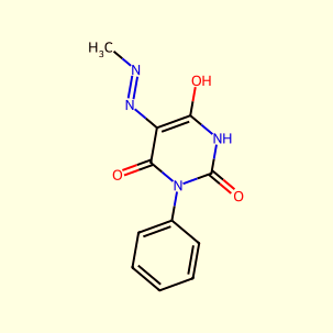 C/N=N/c1c(O)[nH]c(=O)n(-c2ccccc2)c1=O